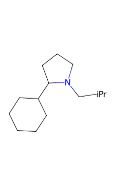 CC(C)CN1CCCC1C1CCCCC1